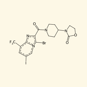 O=C(c1nc2c(C(F)(F)F)cc(I)cn2c1Br)N1CCC(N2CCOC2=O)CC1